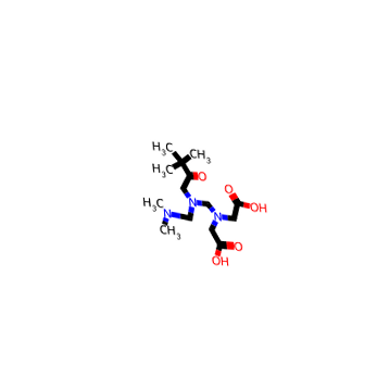 CN(C)CN(CC(=O)C(C)(C)C)CN(CC(=O)O)CC(=O)O